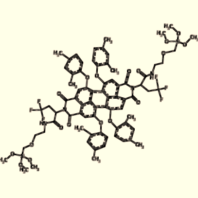 CO[Si](COCCNC(=O)C(CC(F)(F)F)N1C(=O)c2cc(Oc3ccc(C)cc3C)c3c4c(Oc5ccc(C)cc5C)cc5c6c(cc(Oc7ccc(C)cc7C)c(c7c(Oc8ccc(C)cc8C)cc(c2c37)C1=O)c64)C(=O)N(C(CC(F)(F)F)C(=O)NCCOC[Si](OC)(OC)OC)C5=O)(OC)OC